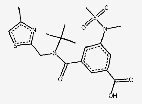 Cc1csc(CN(C(=O)c2cc(C(=O)O)cc(N(C)S(C)(=O)=O)c2)C(C)(C)C)n1